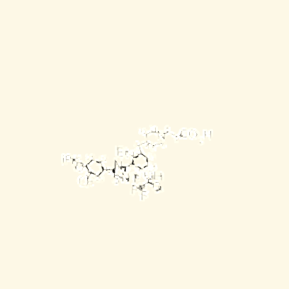 CCc1c(CC2CCN(CCC(=O)O)CC2)cccc1-c1nsc(-c2ccc(OC(C)C)c(Cl)c2)n1.O=C(O)C(F)(F)F